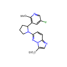 CCOC(=O)c1cnc2ccc(N3CCCC3c3cc(F)cnc3OC)nn12